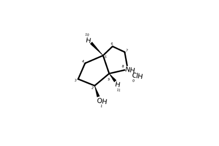 Cl.O[C@H]1CC[C@@H]2CCN[C@@H]21